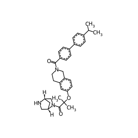 CC(C)c1ccc(-c2ccc(C(=O)N3CCc4cc(OC(C)(C)C(=O)N5C[C@@H]6C[C@H]5CN6)ccc4C3)cc2)cc1